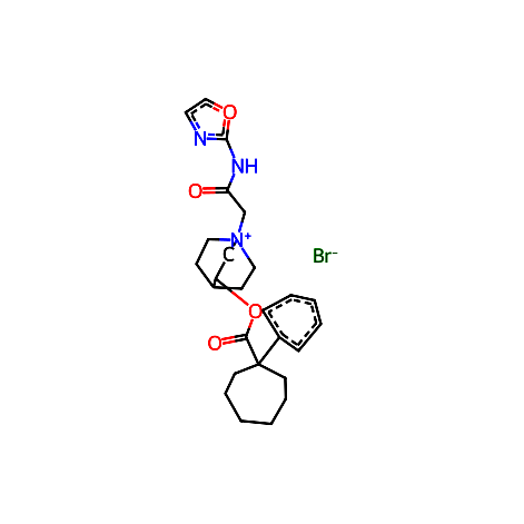 O=C(C[N+]12CCC(CC1)C(OC(=O)C1(c3ccccc3)CCCCCC1)C2)Nc1ncco1.[Br-]